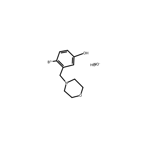 [B+2]c1ccc(O)cc1CN1CCOCC1.[OH-].[OH-]